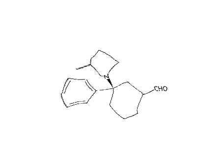 CC1CCN1[C@]1(c2ccccc2)CCCC(C=O)C1